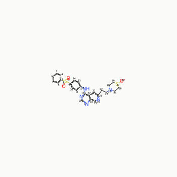 O=S(=O)(c1ccccc1)c1ccc(Nc2ncnc3cnc(CCN4CC[S+]([O-])CC4)cc23)cc1